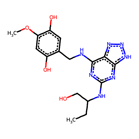 CCC(CO)Nc1nc(NCc2cc(O)c(OC)cc2O)c2nn[nH]c2n1